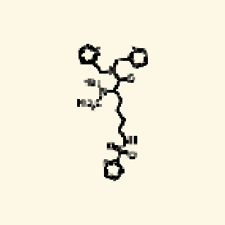 CC(C)(C)N(C(=O)O)C(CCCCNS(=O)(=O)c1cccs1)C(=O)N(Cc1cccs1)Cc1cccs1